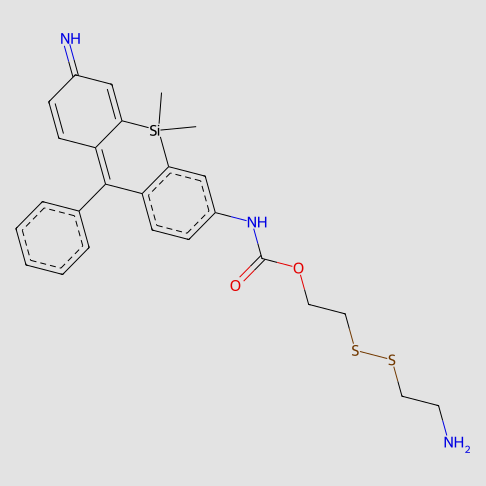 C[Si]1(C)C2=CC(=N)C=CC2=C(c2ccccc2)c2ccc(NC(=O)OCCSSCCN)cc21